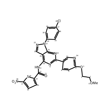 COCCOc1ccc(-c2nc(NC(=O)c3ccc([N+](=O)[O-])s3)c3cnn(-c4ccc(Cl)cc4)c3n2)cn1